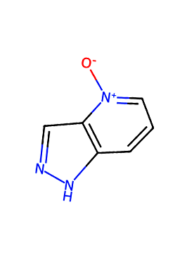 [O-][n+]1cccc2[nH]ncc21